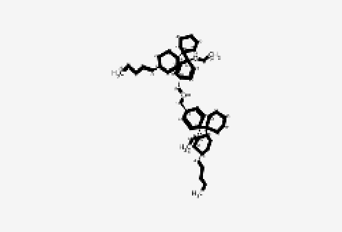 CCCCC[C@H]1CC[C@H](C2([C@]3(OCC)C=C[C@H](COC[C@H]4C=C[C@@](OCC)(C5([C@H]6CC[C@H](CCCCC)CC6)CCCCC5)C=C4)C=C3)CCCCC2)CC1